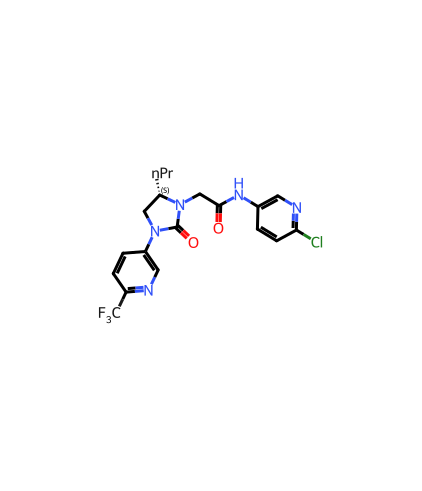 CCC[C@H]1CN(c2ccc(C(F)(F)F)nc2)C(=O)N1CC(=O)Nc1ccc(Cl)nc1